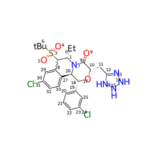 CC[C@@H](CS(=O)(=O)C(C)(C)C)N1C(=O)[C@H](CC2=NNNN2)O[C@H](c2cccc(Cl)c2)[C@H]1c1ccc(Cl)cc1